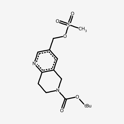 CC(C)(C)OC(=O)N1CCc2ncc(COS(C)(=O)=O)cc2C1